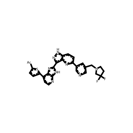 CC(=O)c1ccc(-c2ccnc3[nH]c(-c4n[nH]c5ccc(-c6cncc(CN7CCC(F)(F)C7)c6)nc45)nc23)s1